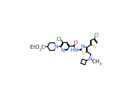 CCOC(=O)C1CCN(c2ncc(C(=O)Nc3nc(-c4cc(Cl)cs4)c(CN(C)C4CCC4)s3)cc2Cl)CC1